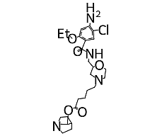 CCOc1cc(N)c(Cl)cc1C(=O)NCC1CN(CCCCC(=O)OC2CN3CCC2CC3)CCO1